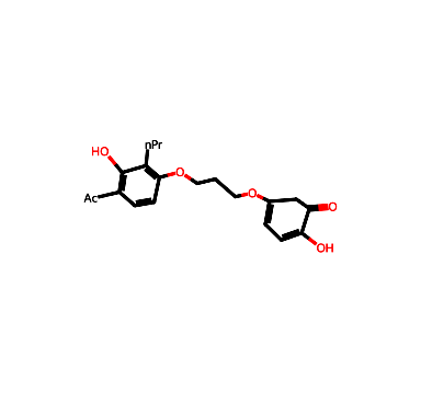 CCCc1c(OCCCOC2=CC=C(O)C(=O)C2)ccc(C(C)=O)c1O